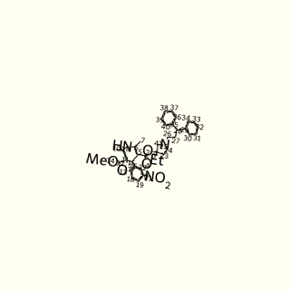 CC[C@]1(OC(=O)C2=C(C)NC(C)=C(C(=O)OC)C2c2cccc([N+](=O)[O-])c2)CCN(CCC(c2ccccc2)c2ccccc2)C1